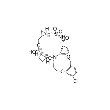 O=C1NS(=O)(=O)C[C@@H]2CC2CC[C@H](O)[C@@H]2CC[C@H]2CN2CCCCc3cc(Cl)ccc3COc3ccc1cc32